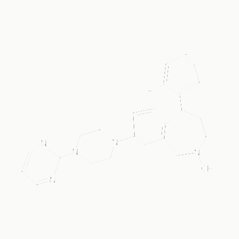 CN1CCC(c2ccccc2F)c2ccc(N3CCN(c4ncccn4)CC3)cc2C1